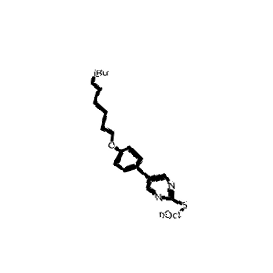 CCCCCCCCSc1ncc(-c2ccc(OCCCCCCC(C)CC)cc2)cn1